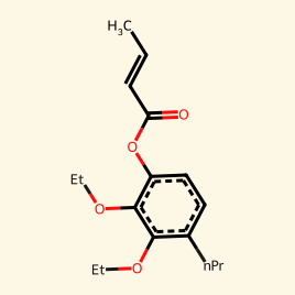 CC=CC(=O)Oc1ccc(CCC)c(OCC)c1OCC